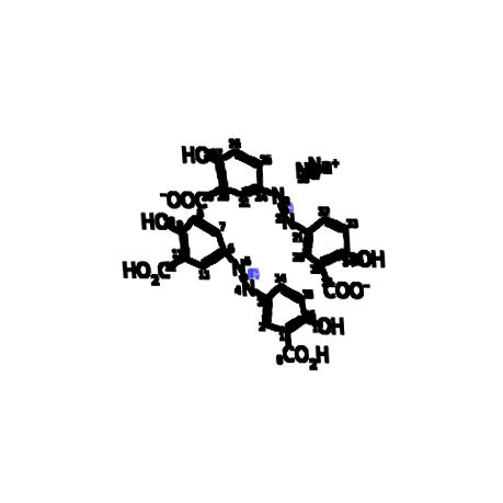 O=C(O)c1cc(/N=N/c2ccc(O)c(C(=O)O)c2)ccc1O.O=C([O-])c1cc(/N=N/c2ccc(O)c(C(=O)[O-])c2)ccc1O.[Na+].[Na+]